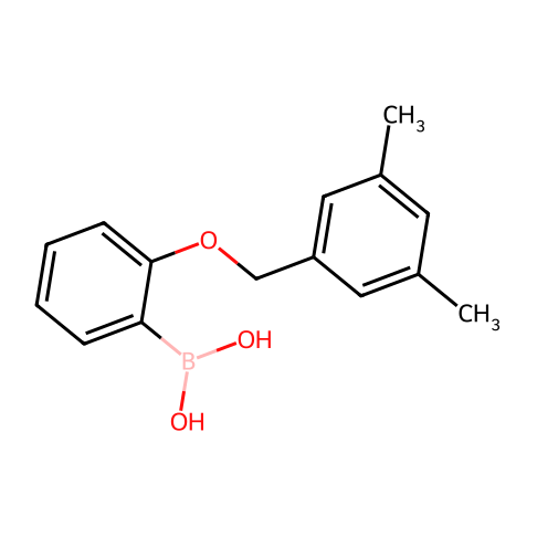 Cc1cc(C)cc(COc2ccccc2B(O)O)c1